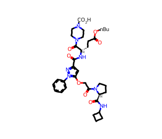 CCCCOC(=O)CC[C@H](NC(=O)c1cc(OCC(=O)N2CCC[C@H]2C(=O)NC2CCC2)n(-c2ccccc2)n1)C(=O)N1CCN(C(=O)O)CC1